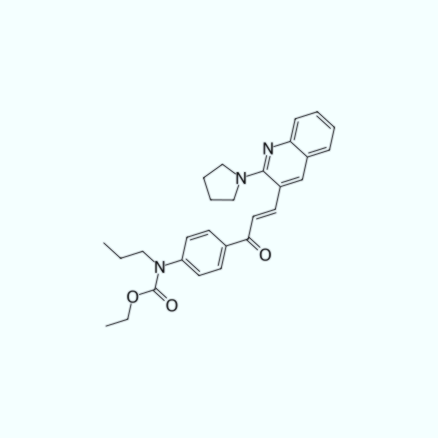 CCCN(C(=O)OCC)c1ccc(C(=O)C=Cc2cc3ccccc3nc2N2CCCC2)cc1